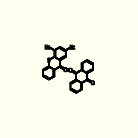 CCc1cc(CC)c2sc3ccccc3c(=O)c2c1.O=C1c2ccccc2C(=O)c2ccccc21